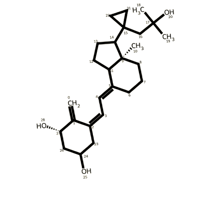 C=C1/C(=C\C=C2/CCC[C@@]3(C)C2CCC3C2(CC(C)(C)O)CC2)CC(O)C[C@@H]1O